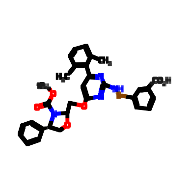 Cc1cccc(C)c1-c1cc(OCC2OC[C@H](c3ccccc3)N2C(=O)OC(C)(C)C)nc(NSc2cccc(C(=O)O)c2)n1